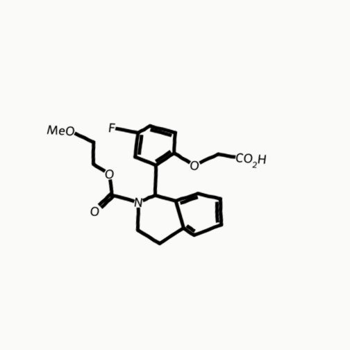 COCCOC(=O)N1CCc2ccccc2C1c1cc(F)ccc1OCC(=O)O